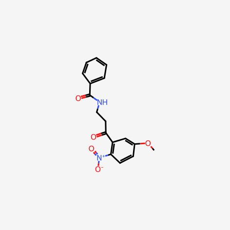 COc1ccc([N+](=O)[O-])c(C(=O)CCNC(=O)c2ccccc2)c1